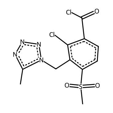 Cc1nnnn1Cc1c(S(C)(=O)=O)ccc(C(=O)Cl)c1Cl